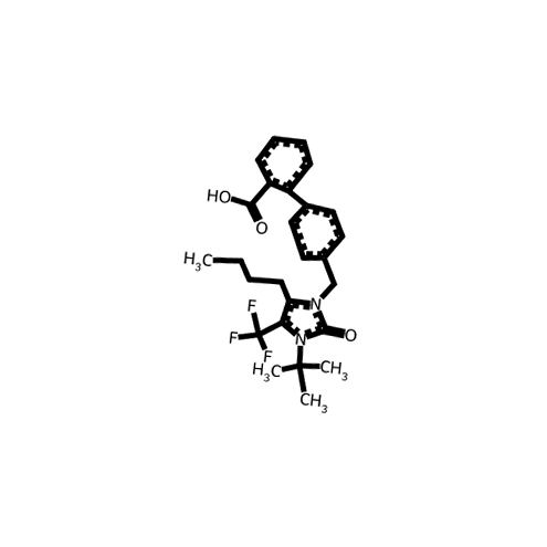 CCCCc1c(C(F)(F)F)n(C(C)(C)C)c(=O)n1Cc1ccc(-c2ccccc2C(=O)O)cc1